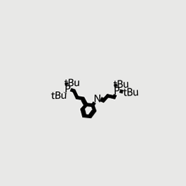 CC(C)(C)P(CCC=NC1C=CC=CC1=CCCP(C(C)(C)C)C(C)(C)C)C(C)(C)C